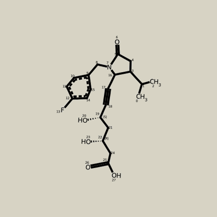 CC(C)C1CC(=O)N(Cc2ccc(F)cc2)C1C#C[C@@H](O)C[C@@H](O)CC(=O)O